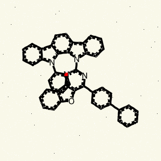 c1ccc(-c2ccc(-c3nc(-n4c5ccccc5c5ccc6c7ccccc7n(-c7ccccc7)c6c54)nc4c3oc3ccccc34)cc2)cc1